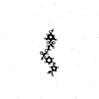 COc1cc(C)c(S(=O)(=O)N(C)CCOCC(=O)N(C)[C@H]2CC[C@@H](CN3CCC(N(C)C)C3)CC2)c(C)c1